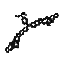 CC(C)c1ccc(N(c2ccc3cc4c(cc3c2)oc2cc3c(cc24)oc2cc4ccccc4cc23)c2ccc3cc4c(cc3c2)oc2cc3c(cc24)oc2cc4ccccc4cc23)cc1